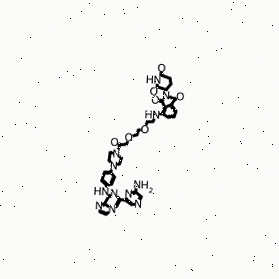 Nc1cncc(-c2cn3ccnc3c(Nc3ccc(N4CCN(C(=O)COCCOCCNc5cccc6c5C(=O)N(C5CCC(=O)NC5=O)C6=O)CC4)cc3)n2)n1